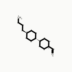 CCCC[C@H]1CC[C@H](C2CCC(C=O)CC2)CC1